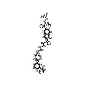 CN(C)CCNC(=O)c1ccc2cn(C(=O)CCCCCN3CCN(c4cccc(C(F)(F)F)c4)CC3)cc2c1